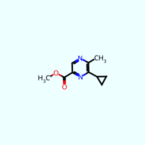 COC(=O)c1cnc(C)c(C2CC2)n1